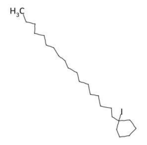 CCCCCCCCCCCCCCCCCCC1(I)CCCCC1